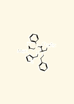 COC(=O)CN(C(=O)[C@](CCc1ccccc1)(CSC(C)=O)OCc1cccs1)c1ccccc1